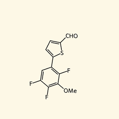 COc1c(F)c(F)cc(-c2ccc(C=O)s2)c1F